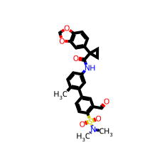 Cc1ccc(NC(=O)C2(c3ccc4c(c3)OCO4)CC2)cc1-c1ccc(S(=O)(=O)N(C)C)c(C=O)c1